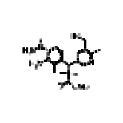 COC(=O)C(C)(C)C(c1cnc(C)c(CO)c1)c1ccc(N(C)N)c(N)c1C